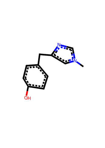 Cn1cnc(Cc2ccc(O)cc2)c1